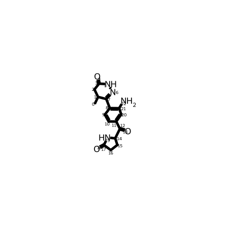 CC1CC(=O)NN=C1c1ccc(C(=O)C2CCC(=O)N2)cc1N